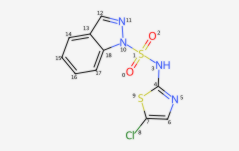 O=S(=O)(Nc1ncc(Cl)s1)n1ncc2ccccc21